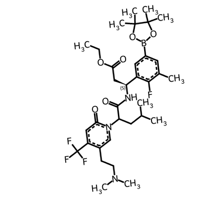 CCOC(=O)C[C@H](NC(=O)C(CC(C)C)n1cc(CCN(C)C)c(C(F)(F)F)cc1=O)c1cc(B2OC(C)(C)C(C)(C)O2)cc(C)c1F